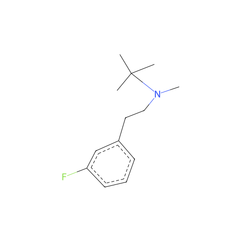 CN(CCc1cccc(F)c1)C(C)(C)C